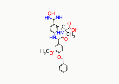 COc1cc(C(Nc2ccc(C(=N)NO)cc2)C(=O)NC(C)(C)C(=O)O)ccc1OCc1ccccc1